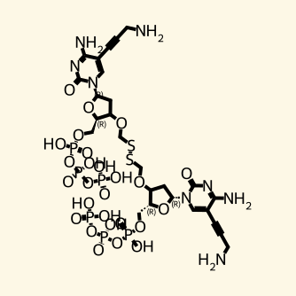 NCC#Cc1cn([C@H]2CC(OCSSCOC3C[C@H](n4cc(C#CCN)c(N)nc4=O)O[C@@H]3COP(=O)(O)OP(=O)(O)OP(=O)(O)O)[C@@H](COP(=O)(O)OP(=O)(O)OP(=O)(O)O)O2)c(=O)nc1N